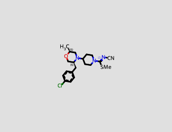 CS/C(=N\C#N)N1CCC(N2C[C@H](C)OC[C@@H]2Cc2ccc(Cl)cc2)CC1